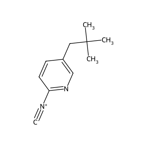 [C-]#[N+]c1ccc(CC(C)(C)C)cn1